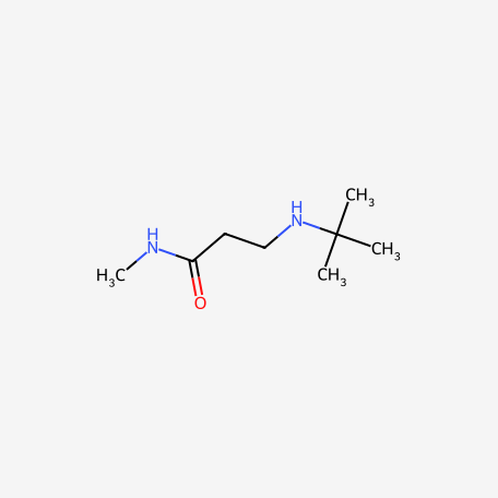 CNC(=O)CCNC(C)(C)C